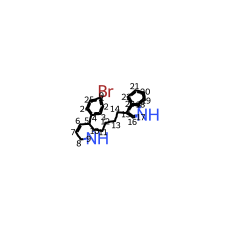 Brc1ccc(C2C=CCNC2CCCCc2c[nH]c3ccccc23)cc1